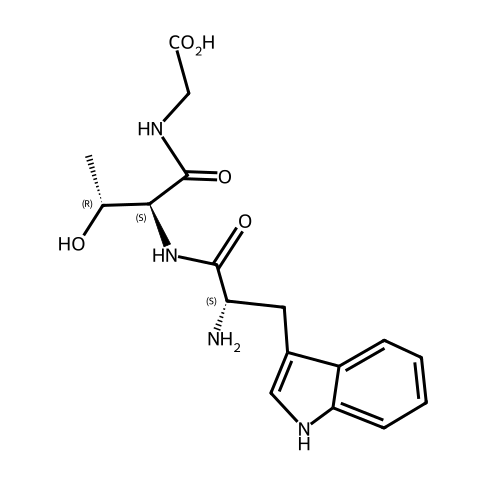 C[C@@H](O)[C@H](NC(=O)[C@@H](N)Cc1c[nH]c2ccccc12)C(=O)NCC(=O)O